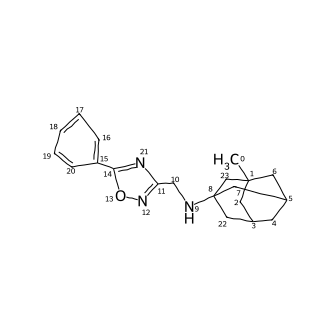 CC12CC3CC(C1)CC(NCc1noc(-c4ccccc4)n1)(C3)C2